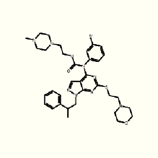 CC(Cn1ncc2c(N(C(=O)OCCN3CCN(C)CC3)c3cccc(Br)c3)nc(SCCN3CCOCC3)nc21)c1ccccc1